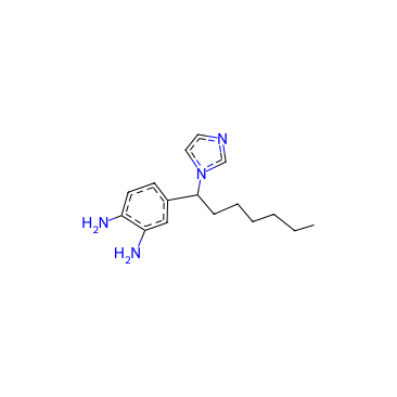 CCCCCCC(c1ccc(N)c(N)c1)n1ccnc1